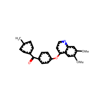 COc1cc2nccc(Oc3ccc(C(=O)c4ccc(C)cc4)cc3)c2cc1OC